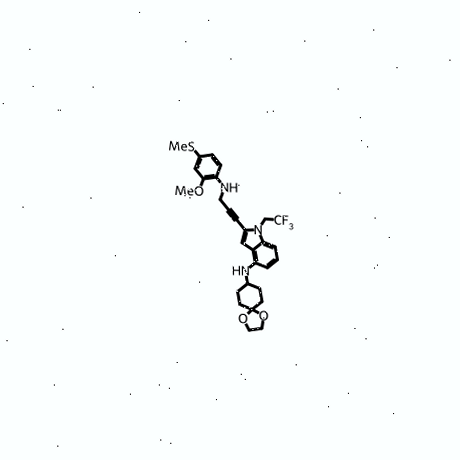 COc1cc(SC)ccc1NCC#Cc1cc2c(NC3CCC4(CC3)OCCO4)cccc2n1CC(F)(F)F